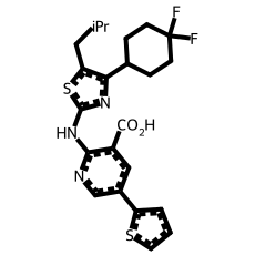 CC(C)Cc1sc(Nc2ncc(-c3cccs3)cc2C(=O)O)nc1C1CCC(F)(F)CC1